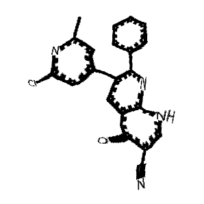 Cc1cc(-c2cc3c(=O)c(C#N)c[nH]c3nc2-c2ccccc2)cc(Cl)n1